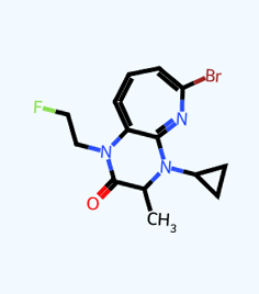 CC1C(=O)N(CCF)C2=C=CC=C(Br)N=C2N1C1CC1